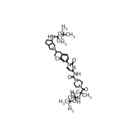 CCC(Cc1ccc(-n2ccc(NC(=O)N3CCN(C(=O)C(C)(C)NC(=O)OC(C)(C)C)CC3)nc2=O)cc1)N1CC2CCC(NC(=O)OC(C)(C)C)C2C1